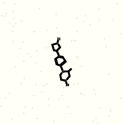 CCN1CCC(c2ccc(N3CCN(CC)CC3C)cc2)C1